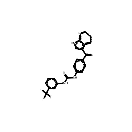 O=C(Nc1ccc(C(=O)c2c[nH]c3c2=CCCN=3)cc1)Nc1cccc(C(F)(F)F)c1